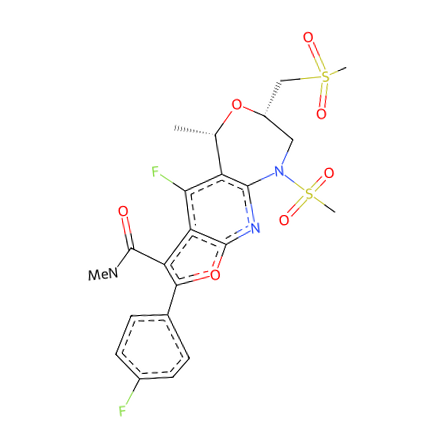 CNC(=O)c1c(-c2ccc(F)cc2)oc2nc3c(c(F)c12)[C@H](C)O[C@H](CS(C)(=O)=O)CN3S(C)(=O)=O